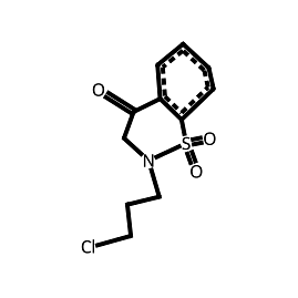 O=C1CN(CCCCl)S(=O)(=O)c2ccccc21